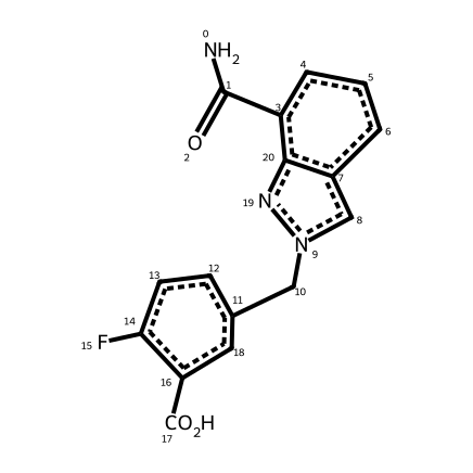 NC(=O)c1cccc2cn(Cc3ccc(F)c(C(=O)O)c3)nc12